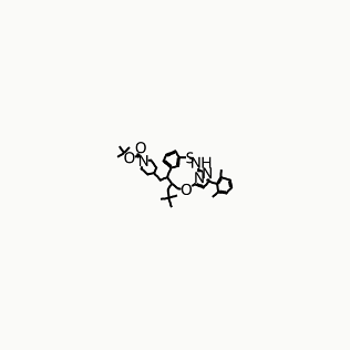 Cc1cccc(C)c1-c1cc2nc(n1)NSc1cccc(c1)C(CC1CCN(C(=O)OC(C)(C)C)CC1)C(CC(C)(C)C)CO2